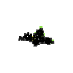 CC(=O)c1cccc(CSc2cccc3c2C(C)C(c2c(F)cc(F)cc2F)=C2C=C(c4ccc(F)cc4)CC23)c1